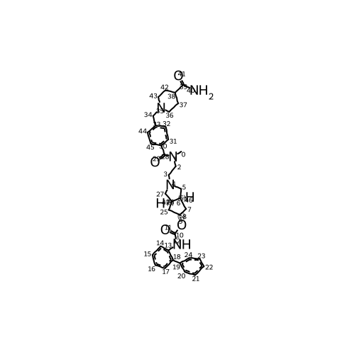 CN(CCN1C[C@H]2C[C@H](OC(=O)Nc3ccccc3-c3ccccc3)C[C@H]2C1)C(=O)c1ccc(CN2CCC(C(N)=O)CC2)cc1